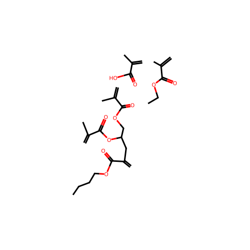 C=C(C)C(=O)O.C=C(C)C(=O)OCC.C=C(C)C(=O)OCC(CC(=C)C(=O)OCCCC)OC(=O)C(=C)C